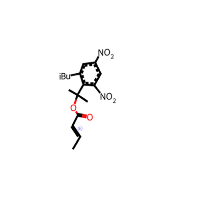 C/C=C/C(=O)OC(C)(C)c1c(C(C)CC)cc([N+](=O)[O-])cc1[N+](=O)[O-]